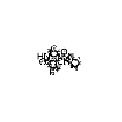 CN(C(=O)c1nc2ccccc2s1)[C@@H]1COCc2[nH]c(=O)c3cc(F)c(F)cc3c21